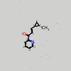 C[C@H]1CC1/C=C/C(=O)c1ccccn1